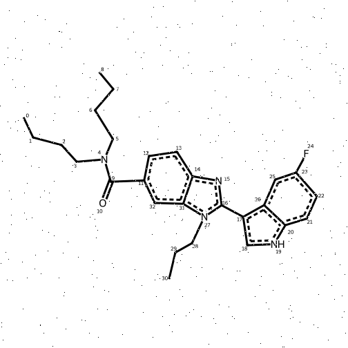 CCCCN(CCCC)C(=O)c1ccc2nc(-c3c[nH]c4ccc(F)cc34)n(CCC)c2c1